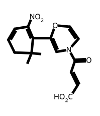 CC1(C)CC=CC([N+](=O)[O-])=C1C1=CN(C(=O)/C=C/C(=O)O)C=CO1